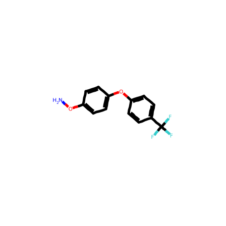 NOc1ccc(Oc2ccc(C(F)(F)F)cc2)cc1